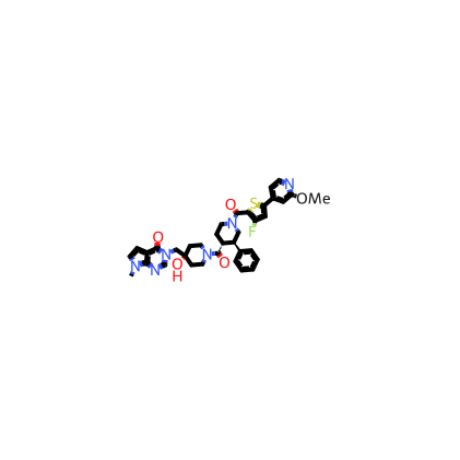 COc1cc(-c2cc(F)c(C(=O)N3CC[C@@H](C(=O)N4CCC(O)(Cn5cnc6c(ccn6C)c5=O)CC4)[C@H](c4ccccc4)C3)s2)ccn1